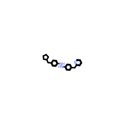 c1ccc(Cc2ccc(NNc3ccc(CC4CCCC4)cc3)cc2)nc1